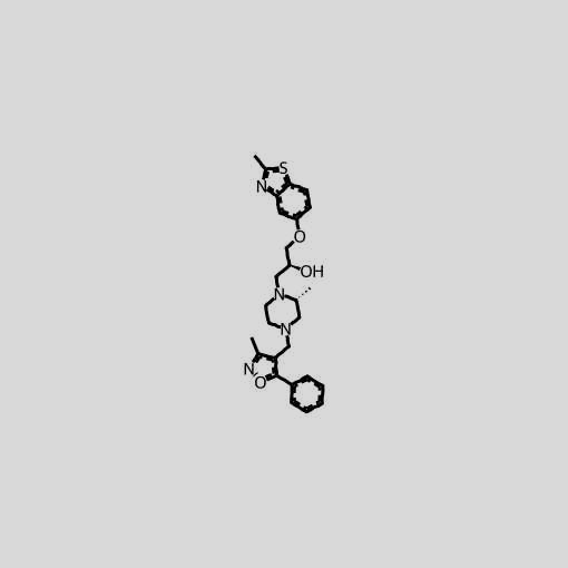 Cc1nc2cc(OC[C@@H](O)CN3CCN(Cc4c(C)noc4-c4ccccc4)C[C@H]3C)ccc2s1